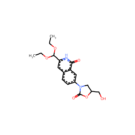 CCOC(OCC)c1cc2ccc(N3CC(CO)OC3=O)cc2c(=O)[nH]1